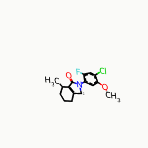 COc1cc(N2[C]C3=C(C2=O)C(C)CCC3)c(F)cc1Cl